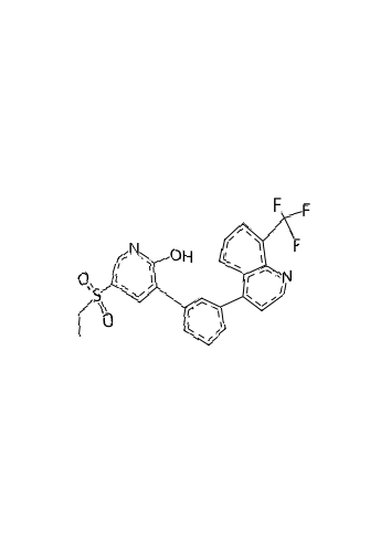 CCS(=O)(=O)c1cnc(O)c(-c2cccc(-c3ccnc4c(C(F)(F)F)cccc34)c2)c1